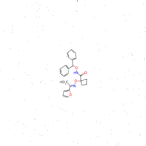 O=C(O)C(=NOC1(C(=O)NOC(c2ccccc2)c2ccccc2)CCC1)c1ccco1